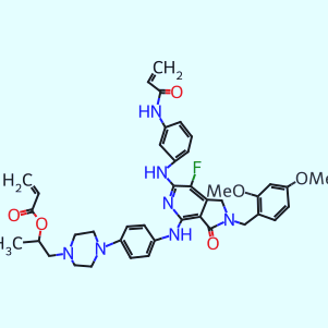 C=CC(=O)Nc1cccc(Nc2nc(Nc3ccc(N4CCN(CC(C)OC(=O)C=C)CC4)cc3)c3c(c2F)CN(Cc2ccc(OC)cc2OC)C3=O)c1